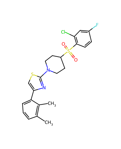 Cc1cccc(-c2csc(N3CCC(S(=O)(=O)c4ccc(F)cc4Cl)CC3)n2)c1C